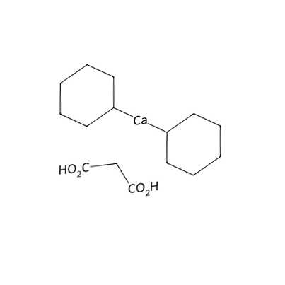 C1CC[CH]([Ca][CH]2CCCCC2)CC1.O=C(O)CC(=O)O